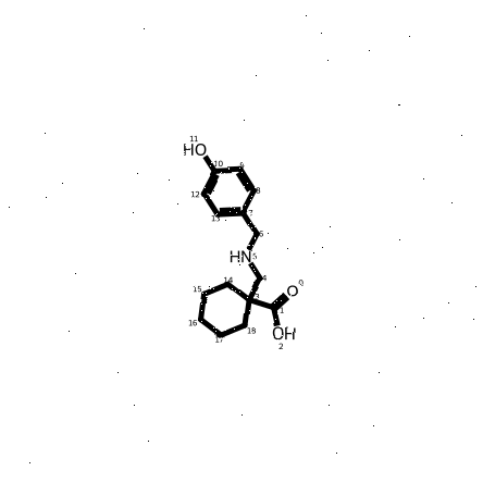 O=C(O)C1(CNCc2ccc(O)cc2)CCCCC1